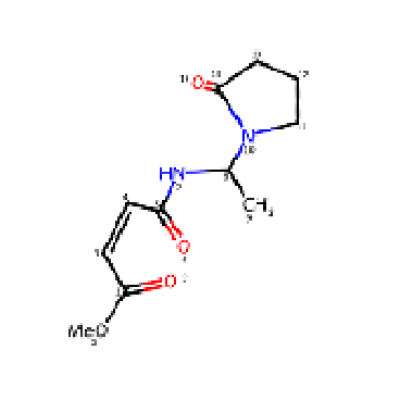 COC(=O)/C=C\C(=O)NC(C)N1CCCC1=O